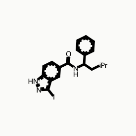 CC(C)CC(NC(=O)c1ccc2[nH]nc(I)c2c1)c1ccccc1